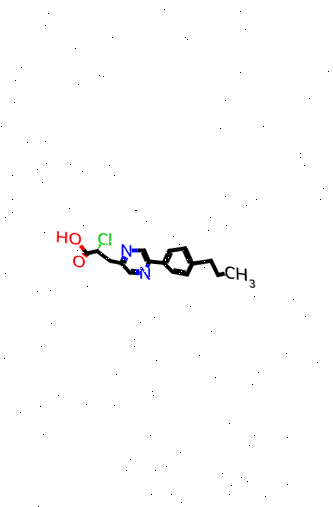 CCCc1ccc(-c2cnc(C[C@@H](Cl)C(=O)O)cn2)cc1